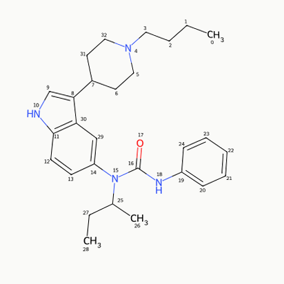 CCCCN1CCC(c2c[nH]c3ccc(N(C(=O)Nc4ccccc4)C(C)CC)cc23)CC1